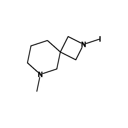 CN1CCCC2(C1)CN(I)C2